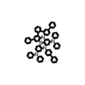 c1ccc(-c2ccc(N3c4cc(N(c5ccccc5)c5ccccc5)ccc4B4c5cc(-c6ccccc6)cc6c5N(c5ccc(-c7ccccc7)cc5-c5ccccc5-6)c5cc(N(c6ccccc6)c6ccccc6)cc3c54)cc2)cc1